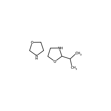 C1COCN1.CC(C)C1NCCO1